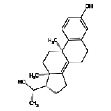 C[C@H](O)[C@H]1CCC2=C3CCc4cc(O)ccc4[C@]3(C)CC[C@@]21C